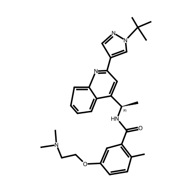 Cc1ccc(OCCN(C)C)cc1C(=O)N[C@H](C)c1cc(-c2cnn(C(C)(C)C)c2)nc2ccccc12